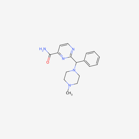 CN1CCN(C(c2ccccc2)c2nccc(C(N)=O)n2)CC1